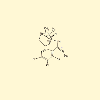 CC1(C)[C@H](N/C(=N/O)c2ccc(Cl)c(Cl)c2F)C2CCN1CC2